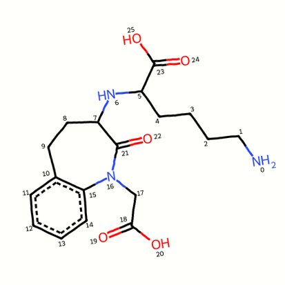 NCCCCC(NC1CCc2ccccc2N(CC(=O)O)C1=O)C(=O)O